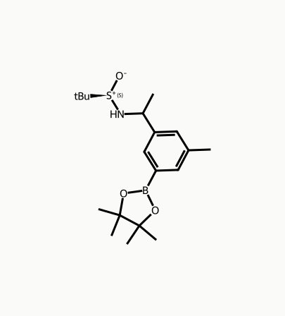 Cc1cc(B2OC(C)(C)C(C)(C)O2)cc(C(C)N[S@+]([O-])C(C)(C)C)c1